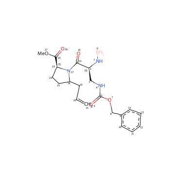 BN[C@@H](CNC(=O)OCc1ccccc1)C(=O)N1C(CC=C)CC[C@H]1C(=O)OC